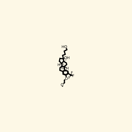 COCCOc1cc2c(cc1C(F)(F)F)[C@H]1CC[C@@]3(C)[C@@H](CC[C@@]3(O)CCCCO)[C@@H]1CC2